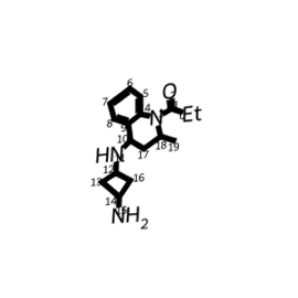 CCC(=O)N1c2ccccc2C(NC2CC(N)C2)CC1C